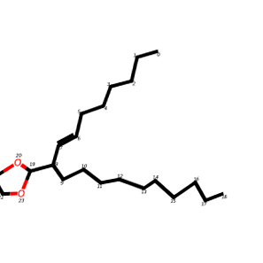 CCCCCCC=CC(CCCCCCCCCC)C1OCCO1